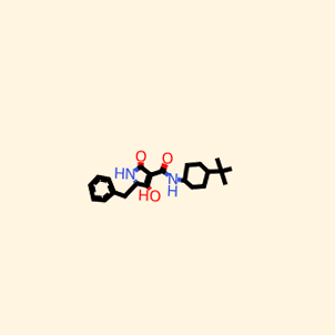 CC(C)(C)C1CCC(NC(=O)C2=C(O)C(Cc3ccccc3)NC2=O)CC1